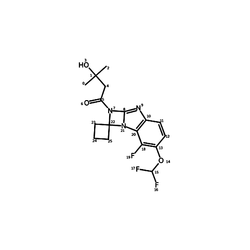 CC(C)(O)CC(=O)N1c2nc3ccc(OC(F)F)c(F)c3n2C12CCC2